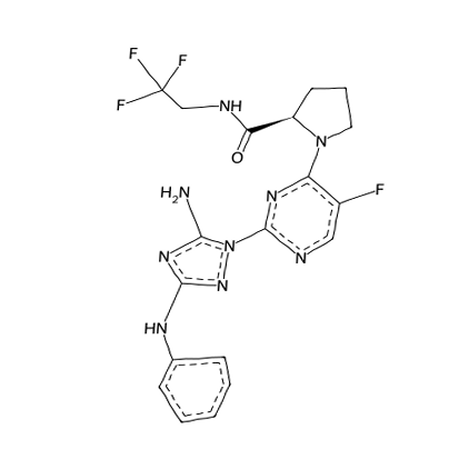 Nc1nc(Nc2ccccc2)nn1-c1ncc(F)c(N2CCC[C@@H]2C(=O)NCC(F)(F)F)n1